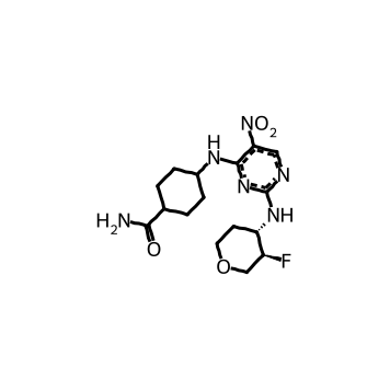 NC(=O)C1CCC(Nc2nc(N[C@H]3CCOC[C@@H]3F)ncc2[N+](=O)[O-])CC1